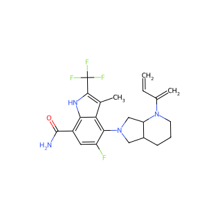 C=CC(=C)N1CCCC2CN(c3c(F)cc(C(N)=O)c4[nH]c(C(F)(F)F)c(C)c34)CC21